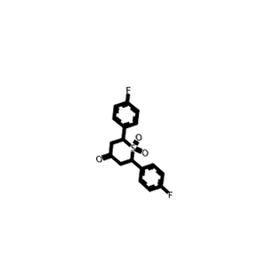 O=C1CC(c2ccc(F)cc2)S(=O)(=O)C(c2ccc(F)cc2)C1